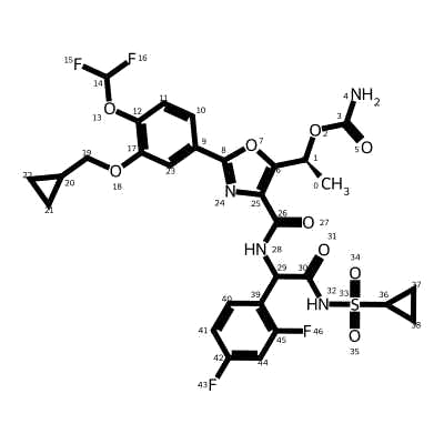 C[C@H](OC(N)=O)c1oc(-c2ccc(OC(F)F)c(OCC3CC3)c2)nc1C(=O)NC(C(=O)NS(=O)(=O)C1CC1)c1ccc(F)cc1F